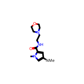 CNc1cc(C(=O)NCCN2CCOCC2)n(C)c1